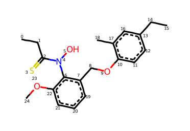 CCC(=S)N(O)c1c(COc2ccc(CC)cc2C)cccc1OC